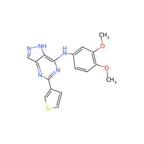 COc1ccc(Nc2nc(-c3ccsc3)nc3cn[nH]c23)cc1OC